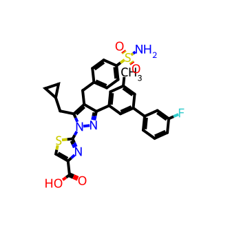 Cc1cc(-c2cccc(F)c2)cc(-c2nn(-c3nc(C(=O)O)cs3)c(CC3CC3)c2Cc2ccc(S(N)(=O)=O)cc2)c1